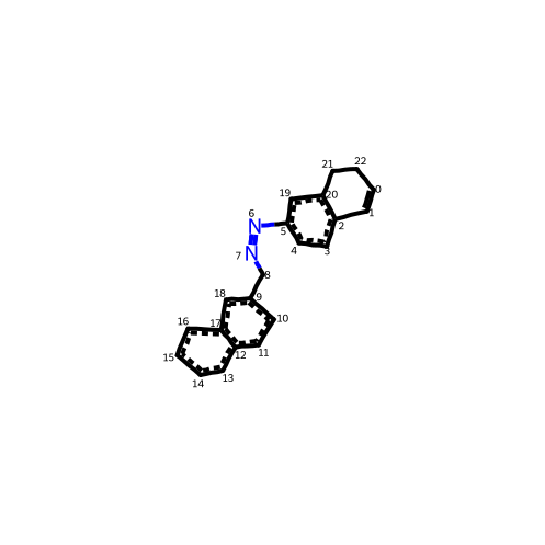 C1=Cc2ccc(/N=N\Cc3ccc4ccccc4c3)cc2CC1